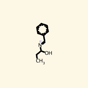 CCC(O)/N=C/c1ccccc1